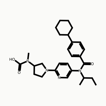 CCC(C)N(C(=O)c1ccc(C2CCCCC2)cc1)c1ccc(N2CCC(N(C)C(=O)O)C2)nc1